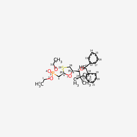 CCOP(=O)(C[C@@H]1O[C@H](C(O[SiH](c2ccccc2)c2ccccc2)C(C)(C)C)CS1)OCC